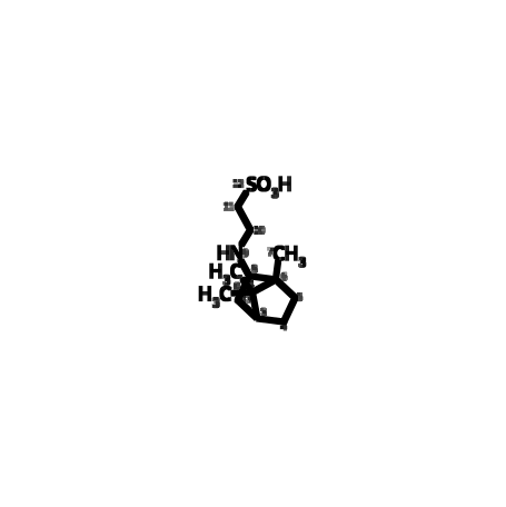 CC1(C)C2CCC1(C)C(NCCS(=O)(=O)O)C2